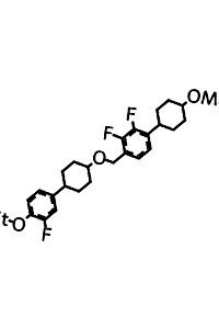 CCOc1ccc(C2CCC(OCc3ccc(C4CCC(OC)CC4)c(F)c3F)CC2)cc1F